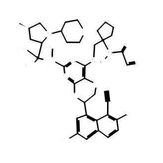 C#Cc1c(F)ccc2cc(O)cc(C3COc4c(NCC5(N(C)C(=O)C=C)CCCC5)nc(OC[C@]5(C(C)(C)C)C[C@@H](F)CN5C5CCOCC5)nc4O3)c12